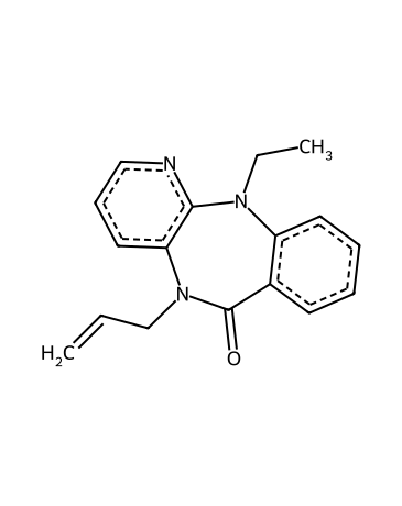 C=CCN1C(=O)c2ccccc2N(CC)c2ncccc21